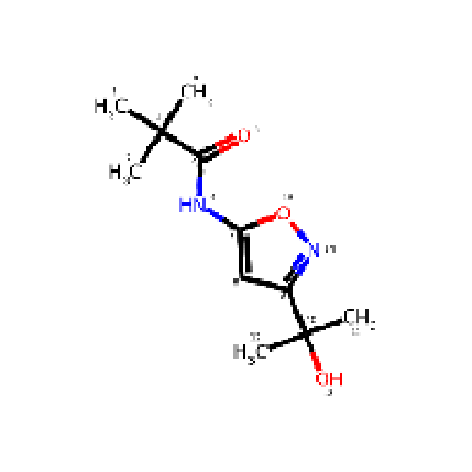 CC(C)(C)C(=O)Nc1cc(C(C)(C)O)no1